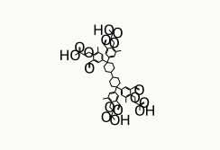 Cc1cc(C2(c3cc(C)c(OCC(=O)O)c(C=O)c3)CCC(C3CCC(c4cc(C)c(OCC(=O)O)c(C=O)c4)(c4cc(C)c(OCC(=O)O)c(C=O)c4)CC3)CC2)cc(C=O)c1OCC(=O)O